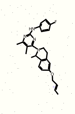 C/C=C/COc1ccc2c(c1)CCN(c1nc(Nc3ccc(F)cc3)nc(C)c1C)C2C